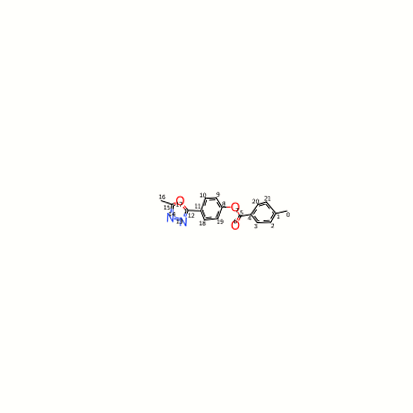 Cc1ccc(C(=O)Oc2ccc(-c3nnc(C)o3)cc2)cc1